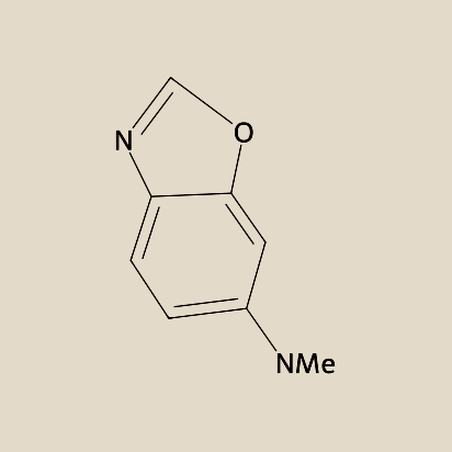 CNc1ccc2ncoc2c1